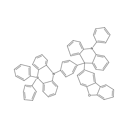 c1ccc(N2c3ccccc3C(c3ccc(N4c5ccccc5[Si](c5ccccc5)(c5ccccc5)c5ccccc54)cc3)(c3ccc4oc5ccccc5c4c3)c3ccccc32)cc1